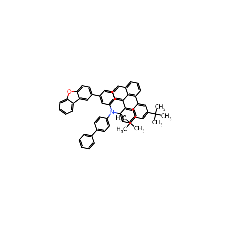 CC(C)(C)c1cc(-c2cccc3cccc(-c4ccccc4N(c4ccc(-c5ccccc5)cc4)c4cccc(-c5ccc6oc7ccccc7c6c5)c4)c23)cc(C(C)(C)C)c1